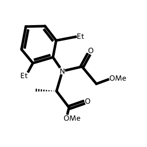 CCc1cccc(CC)c1N(C(=O)COC)[C@@H](C)C(=O)OC